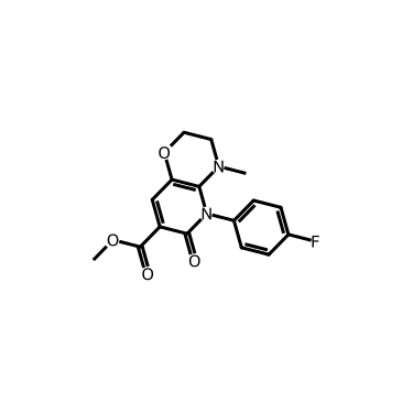 COC(=O)c1cc2c(n(-c3ccc(F)cc3)c1=O)N(C)CCO2